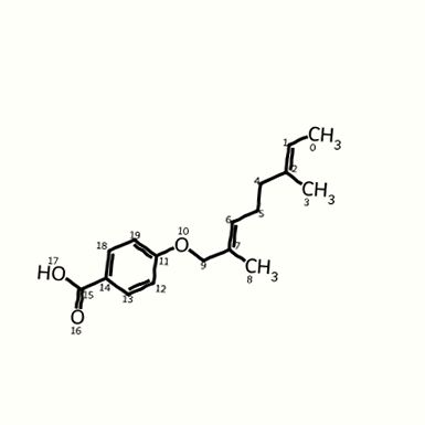 C/C=C(\C)CCC=C(C)COc1ccc(C(=O)O)cc1